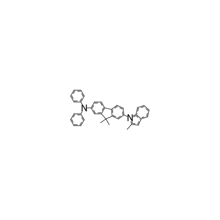 Cc1cc2ccccc2n1-c1ccc2c(c1)C(C)(C)c1cc(N(c3ccccc3)c3ccccc3)ccc1-2